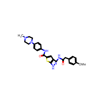 COc1ccc(CC(=O)Nc2n[nH]c3sc(C(=O)Nc4ccc(N5CCN(C)CC5)cc4)cc23)cc1